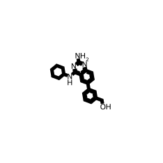 Nc1nc(NC2CCCCC2)c2cc(-c3cccc(CO)c3)ccc2n1